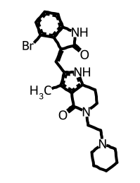 Cc1c(/C=C2\C(=O)Nc3cccc(Br)c32)[nH]c2c1C(=O)N(CCN1CCCCC1)CC2